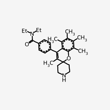 CCN(CC)C(=O)c1ccc(C2=C(C)C3(CCNCC3)Oc3c(C)c(C)c(C)c(C)c32)cc1